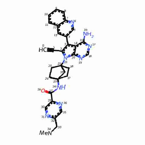 C#Cc1c(-c2cnc3ccccc3c2)c2c(N)ncnc2n1C12CCC(NC(=O)c3cnc(CNC)cn3)(CC1)C2